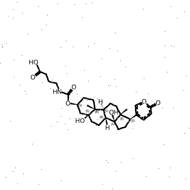 C[C@]12CC[C@H](OC(=O)NCCCC(=O)O)C[C@@]1(O)CC[C@@H]1[C@@H]2CC[C@]2(C)[C@@H](c3ccc(=O)oc3)CC[C@]12O